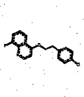 Fc1cccc2c(OCCc3ccc(Cl)cc3)ccnc12